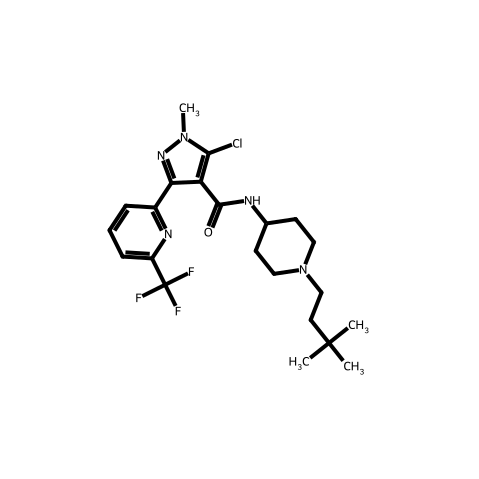 Cn1nc(-c2cccc(C(F)(F)F)n2)c(C(=O)NC2CCN(CCC(C)(C)C)CC2)c1Cl